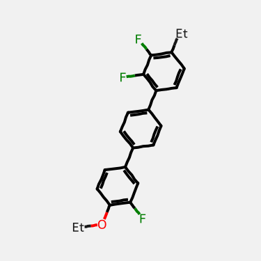 CCOc1ccc(-c2ccc(-c3ccc(CC)c(F)c3F)cc2)cc1F